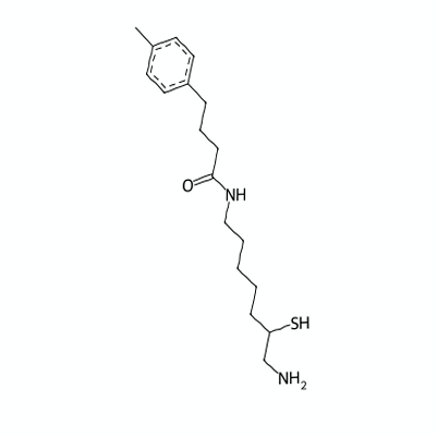 Cc1ccc(CCCC(=O)NCCCCCC(S)CN)cc1